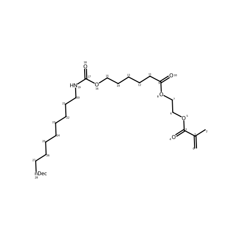 C=C(C)C(=O)OCCOC(=O)CCCCCOC(=O)NCCCCCCCCCCCCCCCCCC